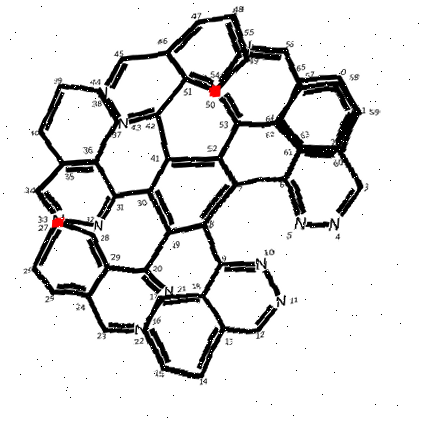 C1=Cc2cnnc(-c3c(-c4nncc5ccccc45)c(-c4nncc5ccccc45)c(-c4nncc5c4CCC=C5)c(-c4nncc5ccccc45)c3-c3nncc4ccccc34)c2CC1